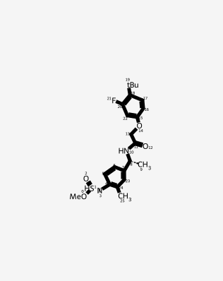 CO[SH](=O)=Nc1ccc([C@@H](C)NC(=O)COc2ccc(C(C)(C)C)c(F)c2)cc1C